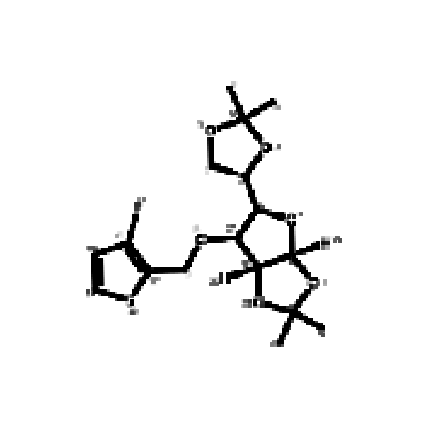 CC1(C)O[C@H]2O[C@H]([C@H]3COC(C)(C)O3)[C@H](OCc3sccc3F)[C@H]2O1